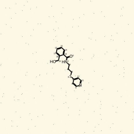 O=C(NCCCSc1ccncc1)c1ccccc1CO